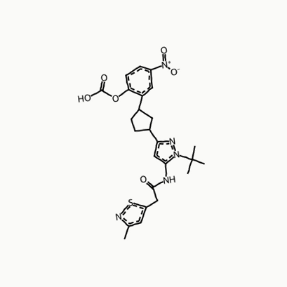 Cc1cc(CC(=O)Nc2cc(C3CCC(c4cc([N+](=O)[O-])ccc4OC(=O)O)C3)nn2C(C)(C)C)sn1